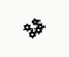 c1ccc(Oc2ccccc2-c2cnc3[nH]cc(-c4nnc[nH]4)c3c2)cc1